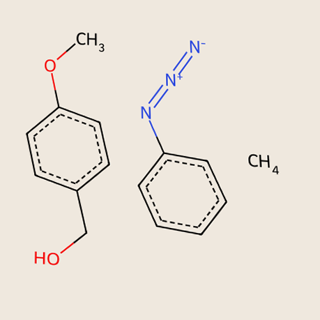 C.COc1ccc(CO)cc1.[N-]=[N+]=Nc1ccccc1